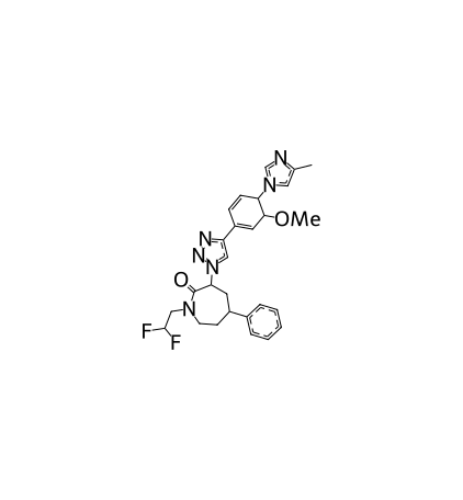 COC1C=C(c2cn(C3CC(c4ccccc4)CCN(CC(F)F)C3=O)nn2)C=CC1n1cnc(C)c1